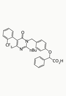 CCCCc1nc(C)c(-c2ccccc2C(F)(F)F)c(=O)n1Cc1ccc(OC(C(=O)O)c2ccccc2)cc1